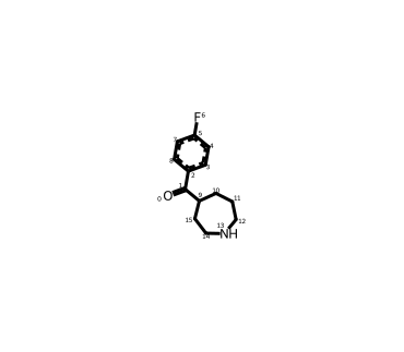 O=C(c1ccc(F)cc1)C1CCCNCC1